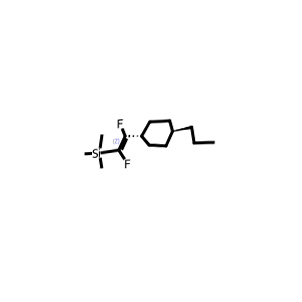 CCC[C@H]1CC[C@H](/C(F)=C(\F)[Si](C)(C)C)CC1